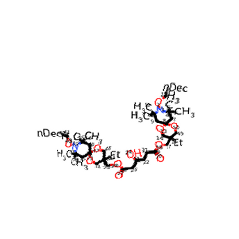 CCCCCCCCCCCON1C(C)(C)CC2(CC1(C)C)OCC(CC)(COC(=O)CCC(O)CC(=O)OCC1(CC)COC3(CC(C)(C)N(OCCCCCCCCCCC)C(C)(C)C3)OC1)CO2